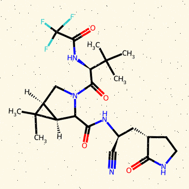 CC(C)(C)[C@H](NC(=O)C(F)(F)F)C(=O)N1C[C@H]2[C@@H](C1C(=O)N[C@H](C#N)C[C@@H]1CCNC1=O)C2(C)C